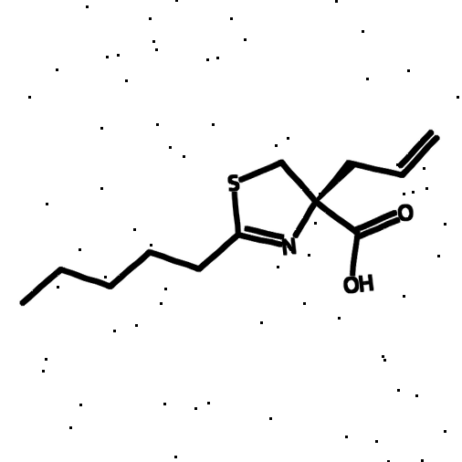 C=CC[C@]1(C(=O)O)CSC(CCCCC)=N1